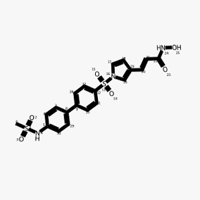 CS(=O)(=O)Nc1ccc(-c2ccc(S(=O)(=O)n3ccc(/C=C/C(=O)NO)c3)cc2)cc1